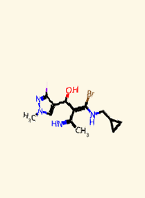 CC(=N)/C(=C(/Br)NCC1CC1)C(O)c1cn(C)nc1I